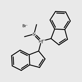 C[Si](C)=[Hf+]([CH]1C=Cc2ccccc21)[CH]1C=Cc2ccccc21.[Br-]